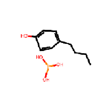 CCCCc1ccc(O)cc1.OP(O)O